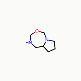 C1CC2CNCOCN2C1